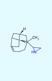 CC1(C2CN2)CC/C=C2\C[C@@H]3C2C[C@@H]3C1